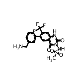 CS(=O)(=O)Nn1c(=O)[nH]c2cc(C(F)(F)F)c(-c3cccc(CN)c3)cc2c1=O